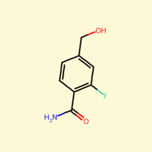 NC(=O)c1ccc(CO)cc1F